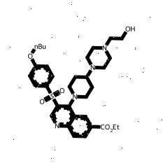 CCCCOc1ccc(S(=O)(=O)c2cnc3ccc(C(=O)OCC)cc3c2N2CCC(N3CCN(CCO)CC3)CC2)cc1